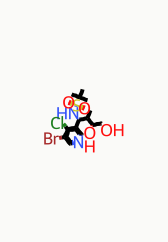 CC(C(O)CO)C(NS(=O)(=O)C(C)(C)C)c1cncc(Br)c1Cl